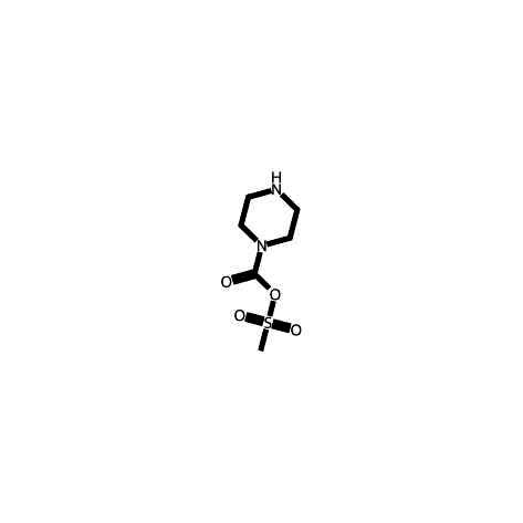 CS(=O)(=O)OC(=O)N1CCNCC1